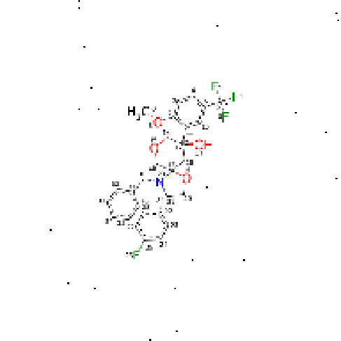 COc1ccc(C(F)(F)F)cc1[C@@]1(O)COCC2(C1)OC[C@H](c1ccc(F)cc1)N2Cc1ccccc1